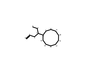 C=CCC(CC)C1CCCCCCCCC1